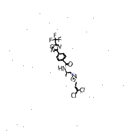 CC(/C=N\OCC=C(Cl)Cl)NC(=O)c1ccc(-c2noc(C(F)(F)F)n2)cc1